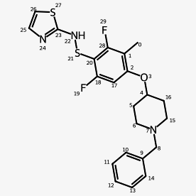 Cc1c(OC2CCN(Cc3ccccc3)CC2)cc(F)c(SNc2nccs2)c1F